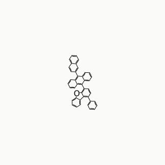 c1ccc(-c2ccc(-c3c4ccccc4c(-c4ccc5ccccc5c4)c4ccccc34)c3oc4ccccc4c23)cc1